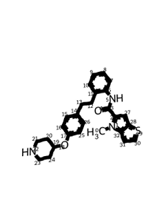 Cn1c(C(=O)Nc2ccccc2CCc2ccc(OC3CCNCC3)cc2)cc2sccc21